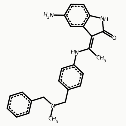 CC(Nc1ccc(CN(C)Cc2ccccc2)cc1)=C1C(=O)Nc2ccc(N)cc21